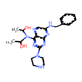 CC(O)N(c1nc(N2CCNCC2)nc2nc(NCc3ccccc3)cnc12)C(C)O